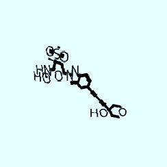 C[C@@](CCn1cc2cc(C#CC#CC3(O)CCOCC3)ccc2n1)(C(=O)NO)S(C)(=O)=O